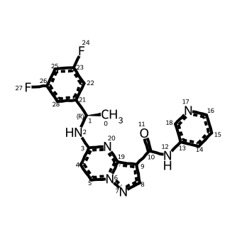 C[C@@H](Nc1ccn2ncc(C(=O)Nc3cccnc3)c2n1)c1cc(F)cc(F)c1